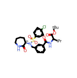 CC(C)C(NC(=O)c1cccc(CN([C@@H]2CCCCNC2=O)S(=O)(=O)c2ccc(Cl)cc2)c1)C(=O)OC(C)(C)C